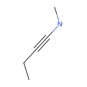 CCC#C[N]C